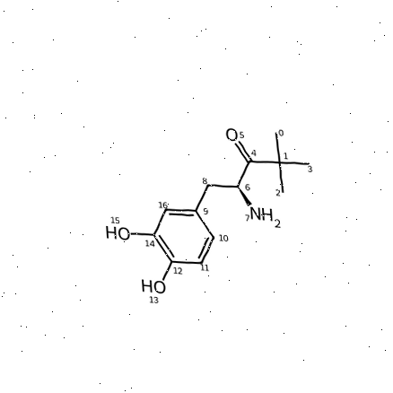 CC(C)(C)C(=O)[C@@H](N)Cc1ccc(O)c(O)c1